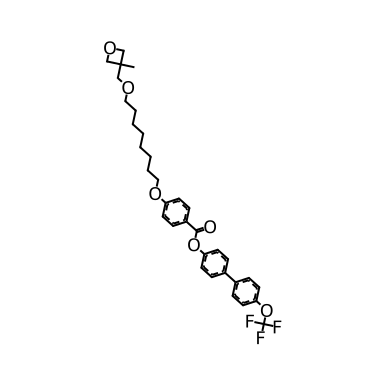 CC1(COCCCCCCCCOc2ccc(C(=O)Oc3ccc(-c4ccc(OC(F)(F)F)cc4)cc3)cc2)COC1